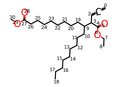 C=C=CC(C(=O)OCC)C(CCCCCCCCC)CCCCCCCCC(=O)OC